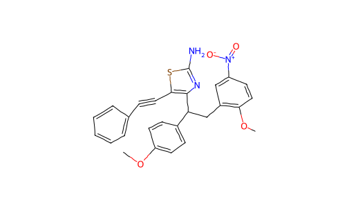 COc1ccc(C(Cc2cc([N+](=O)[O-])ccc2OC)c2nc(N)sc2C#Cc2ccccc2)cc1